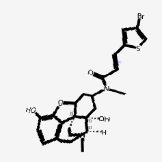 CN(C(=O)/C=C/c1cc(Br)cs1)C1CC2Oc3c(O)ccc4c3[C@@]23CCN(C)[C@H](C4)[C@]3(O)C1